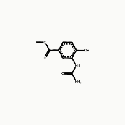 COC(=O)c1ccc(O)c(NC(N)=O)c1